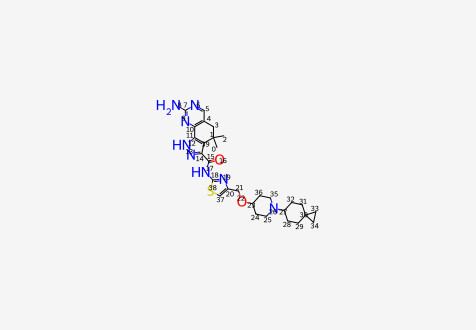 CC1(C)Cc2cnc(N)nc2-c2[nH]nc(C(=O)Nc3nc(COC4CCN(C5CCC6(CC5)CC6)CC4)cs3)c21